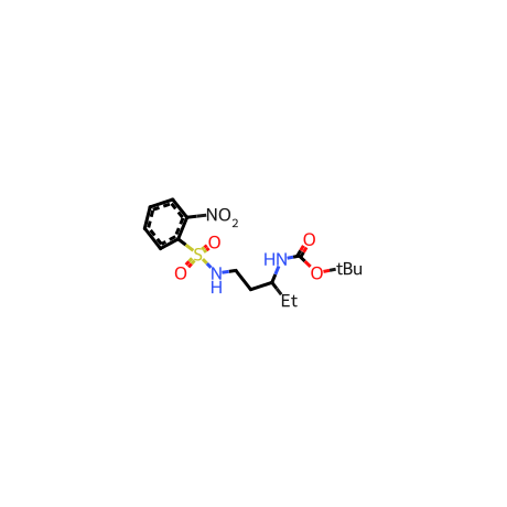 CCC(CCNS(=O)(=O)c1ccccc1[N+](=O)[O-])NC(=O)OC(C)(C)C